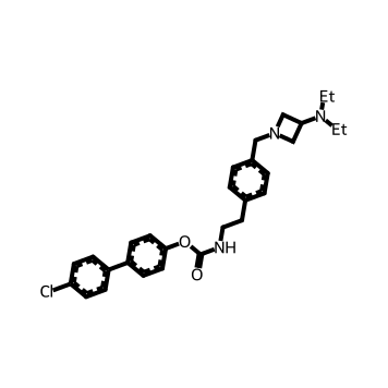 CCN(CC)C1CN(Cc2ccc(CCNC(=O)Oc3ccc(-c4ccc(Cl)cc4)cc3)cc2)C1